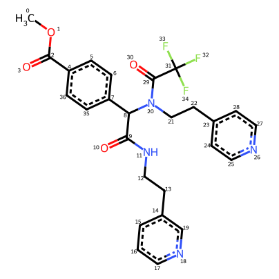 COC(=O)c1ccc(C(C(=O)NCCc2cccnc2)N(CCc2ccncc2)C(=O)C(F)(F)F)cc1